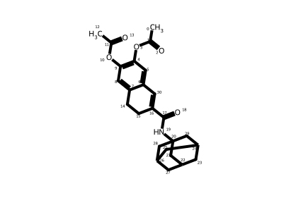 CC(=O)Oc1cc2c(cc1OC(C)=O)CCC(C(=O)NC13CC4CC(CC(C4)C1)C3)=C2